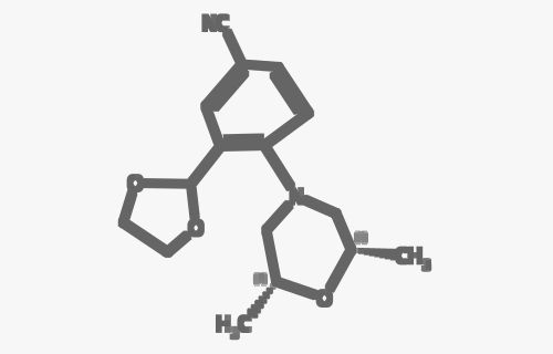 C[C@@H]1CN(c2ccc(C#N)cc2C2OCCO2)C[C@H](C)O1